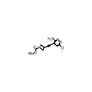 CC(C)(C)OC(=O)N1CC(C#Cc2cc(Cl)nnc2N)C1